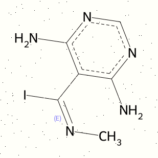 C/N=C(/I)c1c(N)ncnc1N